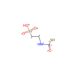 O=C(S)NCCS(=O)(=O)O